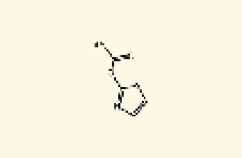 CC(C)C(=O)Oc1nccs1